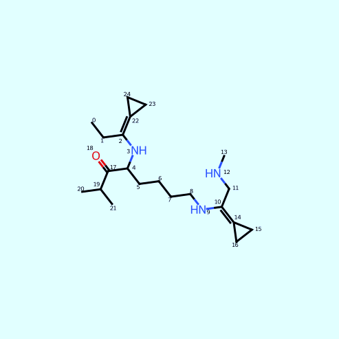 CCC(NC(CCCCNC(CNC)=C1CC1)C(=O)C(C)C)=C1CC1